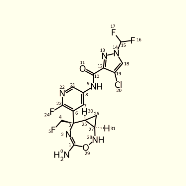 NC1=N[C@](CF)(c2cc(NC(=O)c3nn(C(F)F)cc3Cl)cnc2F)[C@H]2C[C@H]2NO1